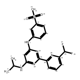 CC(C)Nc1cc(Nc2cccc(S(C)(=O)=O)c2)nc(-c2cccc(C(F)F)n2)n1